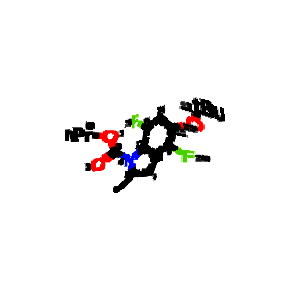 CCCOC(=O)n1c(C)cc2c(F)c(OC(C)(C)C)cc(F)c21